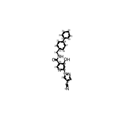 N#Cc1cnn(-c2cc(O)c(C(=O)NCc3ccc(-c4ccccc4)cc3)cn2)c1